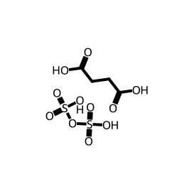 O=C(O)CCC(=O)O.O=S(=O)(O)OS(=O)(=O)O